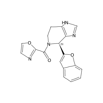 O=C(c1ncco1)N1CCc2[nH]cnc2[C@H]1c1cc2ccccc2o1